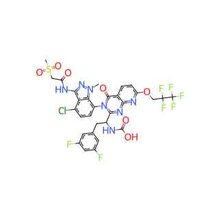 Cn1nc(NC(=O)CS(C)(=O)=O)c2c(Cl)ccc(-n3c(C(Cc4cc(F)cc(F)c4)NC(=O)O)nc4nc(OCC(F)(F)C(F)(F)F)ccc4c3=O)c21